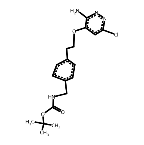 CC(C)(C)OC(=O)NCc1ccc(CCOc2cc(Cl)nnc2N)cc1